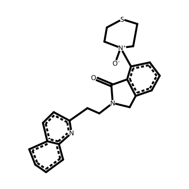 O=C1c2c(cccc2[N+]2([O-])CCSCC2)CN1CCc1ccc2ccccc2n1